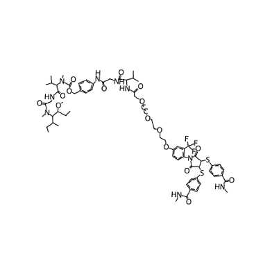 CCC(C)C(C(CC)OC)N(C)C(=O)CNC(=O)C(C(C)C)N(C)C(=O)OCc1ccc(NC(=O)CNC(=O)C(NC(=O)COCCOCCOCCOc2ccc(N3C(=O)C(Sc4ccc(C(=O)NC)cc4)C(Sc4ccc(C(=O)NC)cc4)C3=O)c(C(F)(F)F)c2)C(C)C)cc1